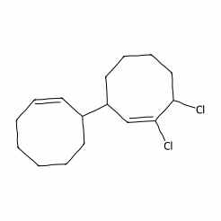 ClC1=CC(C2C=CCCCCC2)CCCCC1Cl